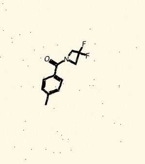 Cc1ccc(C(=O)N2CC(F)(F)C2)cc1